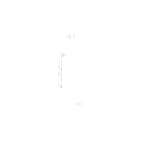 CCCCCP.[N-]=[N+]=N